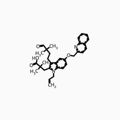 C=CCn1c(CC(C)(C)C(=O)O)c(CCC(C)(C)C=O)c2cc(OCc3ccc4ccccc4n3)ccc21